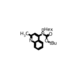 CCCCCCN(C(=O)OC(C)(C)C)c1cc(C)nc2ccccc12